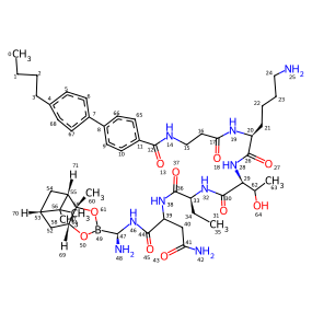 CCCCc1ccc(-c2ccc(C(=O)NCCC(=O)N[C@@H](CCCCN)C(=O)N[C@H](C(=O)N[C@@H](CC)C(=O)NC(CC(N)=O)C(=O)N[C@@H](N)B3O[C@@H]4C[C@@H]5C[C@@H](C5(C)C)[C@]4(C)O3)C(C)O)cc2)cc1